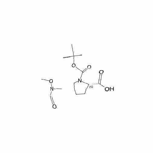 CC(C)(C)OC(=O)N1CCC[C@H]1C(=O)O.CON(C)C=O